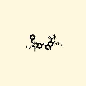 C=C(NCc1ccccc1)Nc1ccc(Oc2ccnc3cc(OC)c(C(N)=O)cc23)cc1Cl